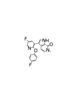 Cn1ccc2c(-c3cc(F)cnc3Oc3ccc(F)cc3)c[nH]c2c1=O